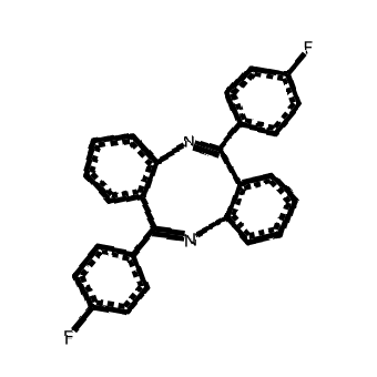 Fc1ccc(C2=Nc3ccccc3C(c3ccc(F)cc3)=Nc3ccccc32)cc1